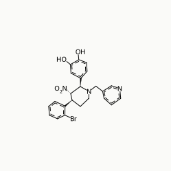 O=[N+]([O-])[C@@H]1[C@@H](c2ccc(O)c(O)c2)N(Cc2cccnc2)CC[C@H]1c1ccccc1Br